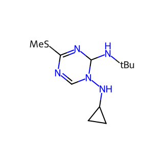 CSC1=NC(NC(C)(C)C)N(NC2CC2)C=N1